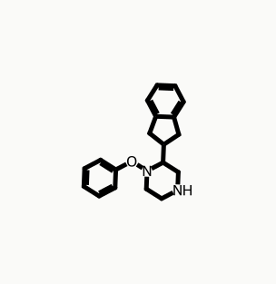 c1ccc(ON2CCNCC2C2Cc3ccccc3C2)cc1